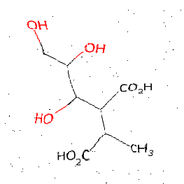 CC(C(=O)O)C(C(=O)O)C(O)C(O)CO